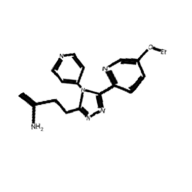 C=C(N)CCc1nnc(-c2ccc(OCC)cn2)n1-c1ccncc1